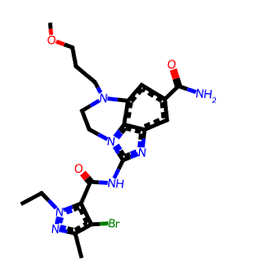 CCn1nc(C)c(Br)c1C(=O)Nc1nc2cc(C(N)=O)cc3c2n1CCN3CCCOC